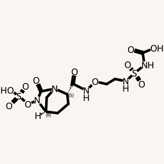 O=C(O)NS(=O)(=O)NCCONC(=O)[C@@H]1CC[C@@H]2CN1C(=O)N2OS(=O)(=O)O